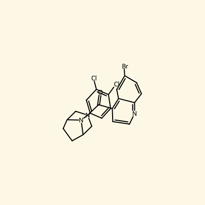 O=C(c1ccnc2ccc(Br)cc12)N1CC2CCC(C1)N2c1ccc(Cl)c(Cl)c1